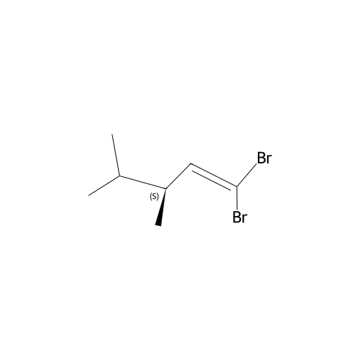 CC(C)[C@H](C)C=C(Br)Br